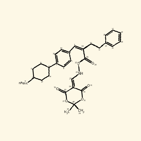 CCCCCC1CCC(c2ccc(C=C(CCc3ccccc3)C(=O)ONC=C3C(=O)OC(C)(C)OC3=O)cc2)CC1